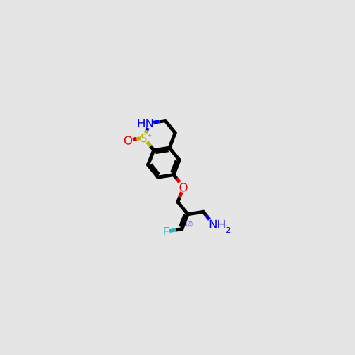 NC/C(=C/F)COc1ccc2c(c1)CCN[S+]2[O-]